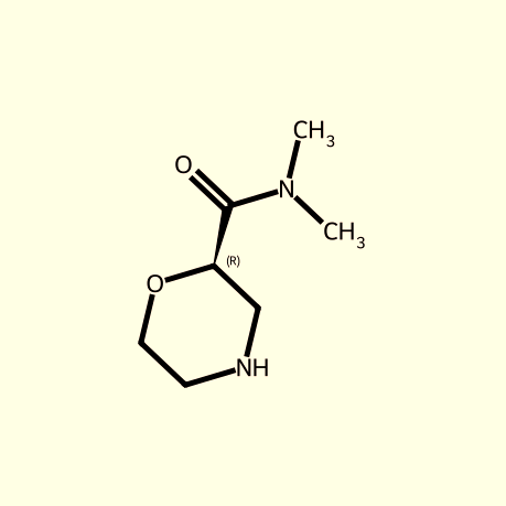 CN(C)C(=O)[C@H]1CNCCO1